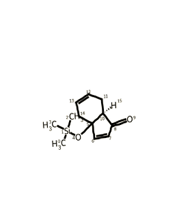 C[Si](C)(C)OC12C=CC(=O)[C@@H]1CC=CC2